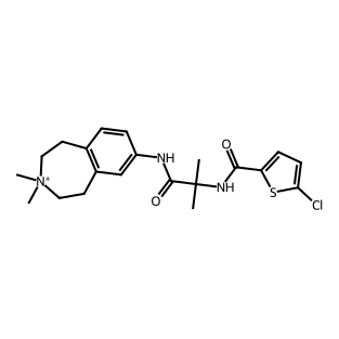 CC(C)(NC(=O)c1ccc(Cl)s1)C(=O)Nc1ccc2c(c1)CC[N+](C)(C)CC2